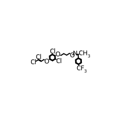 CC(=NOCCCCOc1c(Cl)cc(OCC=C(Cl)Cl)cc1Cl)c1ccc(C(F)(F)F)cc1